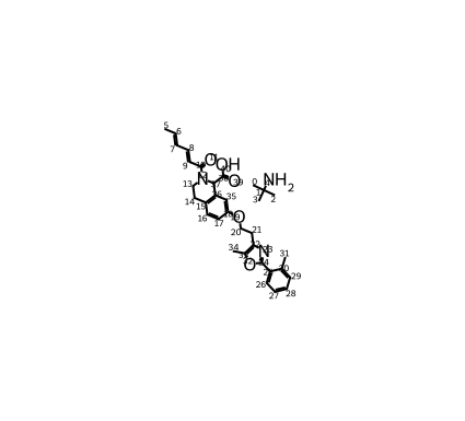 CC(C)(C)N.CC=CC=CC(=O)N1CCc2ccc(OCCc3nc(-c4ccccc4C)oc3C)cc2C1C(=O)O